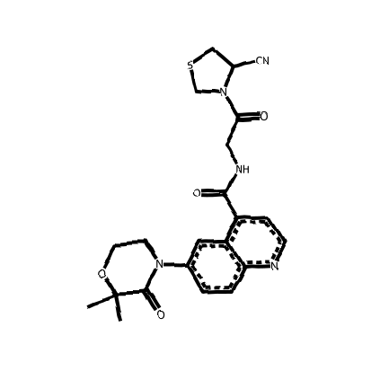 CC1(C)OCCN(c2ccc3nccc(C(=O)NCC(=O)N4CSCC4C#N)c3c2)C1=O